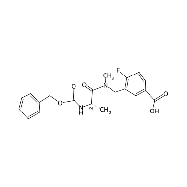 C[C@H](NC(=O)OCc1ccccc1)C(=O)N(C)Cc1cc(C(=O)O)ccc1F